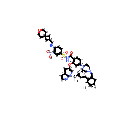 C=C(C)CCC1=C(CN2CCN(c3ccc(C(=O)NS(=O)(=O)c4ccc(NCC5CC6(CCOCC6)C5)c([N+](=O)[O-])c4)c(Oc4cnc5[nH]ccc5c4)c3)CC2)CCC(C)(C)C1